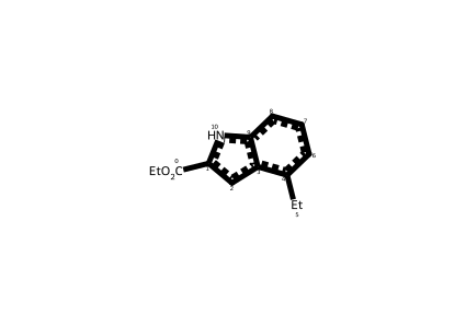 CCOC(=O)c1cc2c(CC)cccc2[nH]1